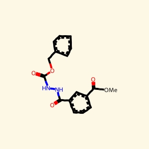 COC(=O)c1cccc(C(=O)NNC(=O)OCc2ccccc2)c1